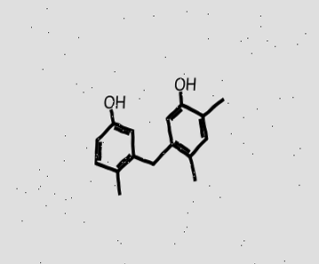 Cc1cc(C)c(Cc2cc(O)ccc2C)cc1O